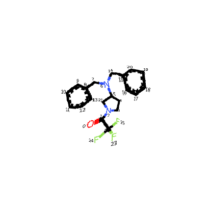 O=C(N1CCC(N(Cc2ccccc2)Cc2ccccc2)C1)C(F)(F)F